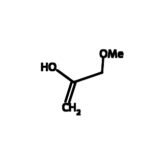 C=C(O)COC